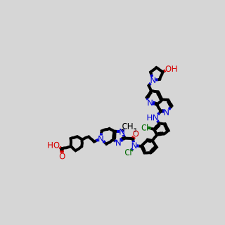 Cn1c(C(=O)N(Cl)c2cccc(-c3cccc(Nc4nccc5cc(CN6CCC(O)C6)cnc45)c3Cl)c2)nc2c1CCN(CCC1CCC(C(=O)O)CC1)C2